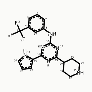 FC(F)(F)c1cccc(Nc2nc(-c3ccc[nH]3)nc(C3CCNCC3)n2)c1